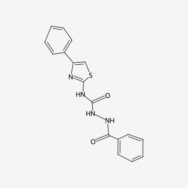 O=C(NNC(=O)c1ccccc1)Nc1nc(-c2ccccc2)cs1